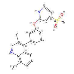 Cc1cnc2c(C(F)(F)F)cccc2c1-c1cccc(Oc2cc(S(C)(=O)=O)ccn2)c1